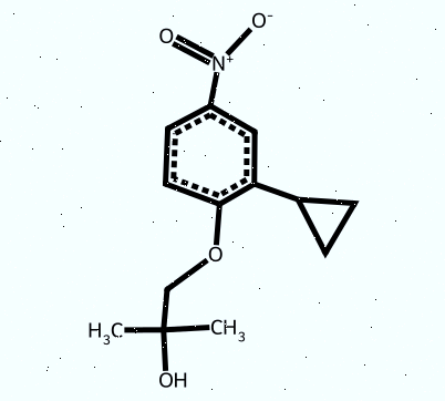 CC(C)(O)COc1ccc([N+](=O)[O-])cc1C1CC1